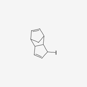 IC1C=CC2C3C=CC(C3)C12